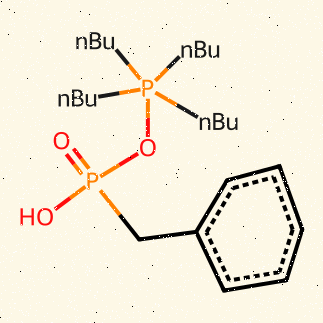 CCCCP(CCCC)(CCCC)(CCCC)OP(=O)(O)Cc1ccccc1